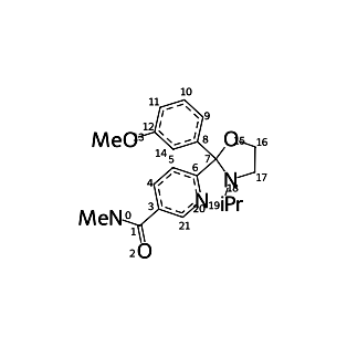 CNC(=O)c1ccc(C2(c3cccc(OC)c3)OCCN2C(C)C)nc1